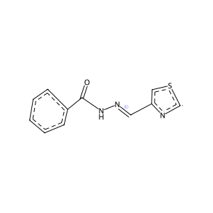 O=C(N/N=C/c1cs[c]n1)c1ccccc1